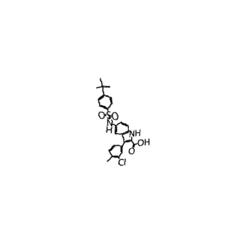 Cc1ccc(-c2c(C(=O)O)[nH]c3ccc(NS(=O)(=O)c4ccc(C(C)(C)C)cc4)cc23)cc1Cl